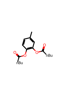 CCCCC(=O)Oc1ccc(C)cc1OC(=O)CCCC